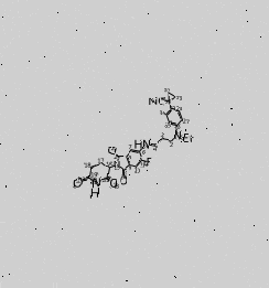 CCN(CCCNc1cc2c(cc1F)C(=O)N(C1CCC(=O)NC1=O)C2=O)c1ccc(C2(C#N)CC2)cc1